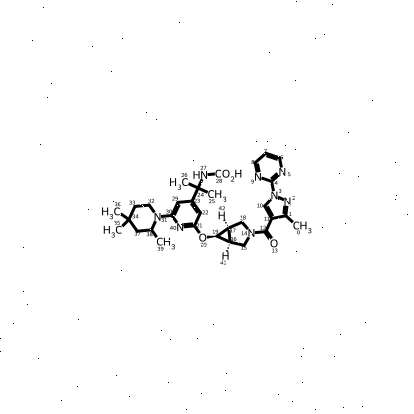 Cc1nn(-c2ncccn2)cc1C(=O)N1C[C@@H]2[C@H](C1)[C@@H]2Oc1cc(C(C)(C)NC(=O)O)cc(N2CCC(C)(C)CC2C)n1